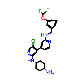 N[C@H]1CC[C@H](Nc2cc(-c3ccnc(NCc4cccc(OC(F)F)c4)c3)c(Cl)cn2)CC1